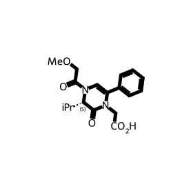 COCC(=O)N1C=C(c2ccccc2)N(CC(=O)O)C(=O)[C@@H]1C(C)C